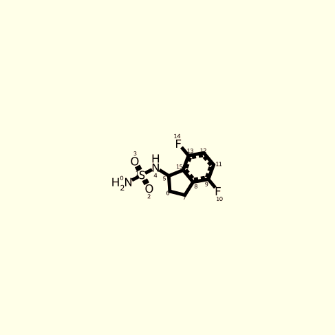 NS(=O)(=O)NC1CCc2c(F)ccc(F)c21